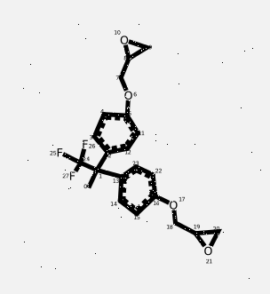 CC(c1ccc(OCC2CO2)cc1)(c1ccc(OCC2CO2)cc1)C(F)(F)F